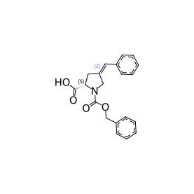 O=C(O)[C@@H]1C/C(=C/c2ccccc2)CN1C(=O)OCc1ccccc1